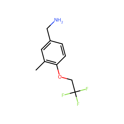 Cc1cc(CN)ccc1OCC(F)(F)F